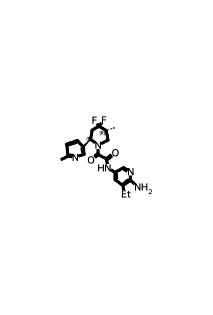 CCc1cc(NC(=O)C(=O)N2C[C@@H](C)C(F)(F)C[C@@H]2c2ccc(C)nc2)cnc1N